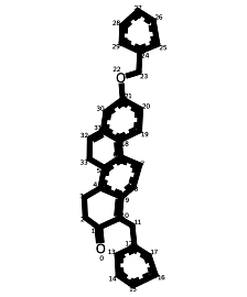 O=C1CCc2c3c(ccc2=C1Cc1ccccc1)=c1ccc(OCc2ccccc2)cc1=CC3